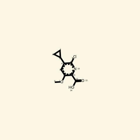 COc1cc(C2CC2)c(Cl)nc1C(=O)O